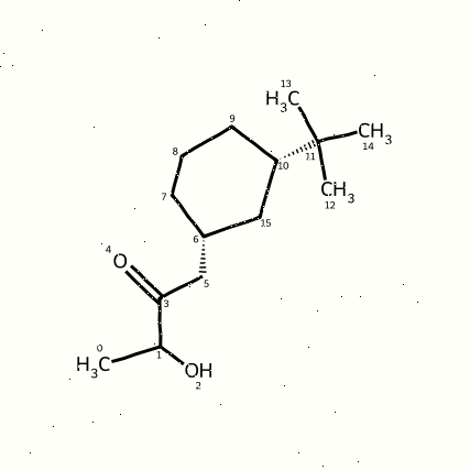 CC(O)C(=O)C[C@@H]1CCC[C@H](C(C)(C)C)C1